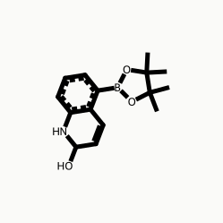 CC1(C)OB(c2cccc3c2C=CC(O)N3)OC1(C)C